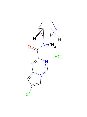 C[C@H]1[C@H](NC(=O)c2cc3cc(Cl)cn3cn2)C2CCN1CC2.Cl